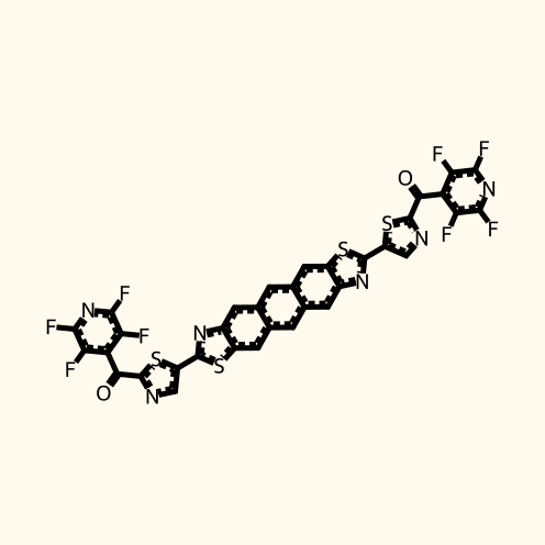 O=C(c1ncc(-c2nc3cc4cc5cc6sc(-c7cnc(C(=O)c8c(F)c(F)nc(F)c8F)s7)nc6cc5cc4cc3s2)s1)c1c(F)c(F)nc(F)c1F